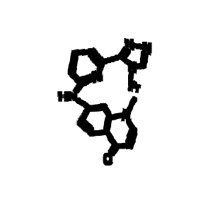 CC(C)n1cnnc1-c1cccc(Nc2ccc3c(=O)ccn(C)c3c2)n1